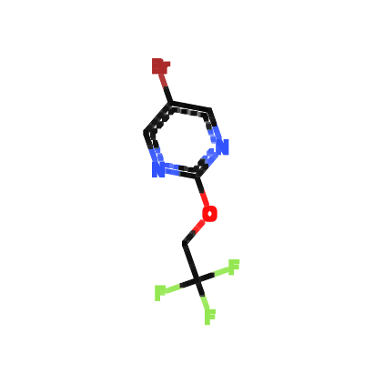 FC(F)(F)COc1ncc(Br)cn1